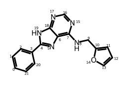 c1ccc(-c2nc3c(NCc4ccco4)ncnc3[nH]2)cc1